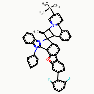 C=C1C2C(c3ccccc3-c3ccc([Si](C)(C)C)c[n+]32)C12c1ccc3c(oc4cc(-c5c(F)cccc5F)ccc43)c1-c1n(-c3ccccc3)c3ccccc3[n+]12